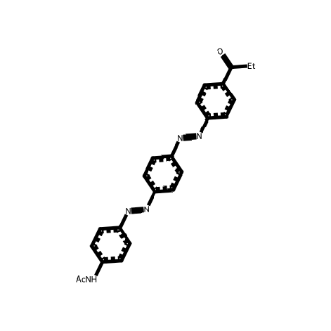 CCC(=O)c1ccc(N=Nc2ccc(N=Nc3ccc(NC(C)=O)cc3)cc2)cc1